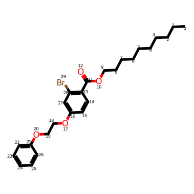 CCCCCCCCCCOC(=O)c1ccc(OCCOc2ccccc2)cc1Br